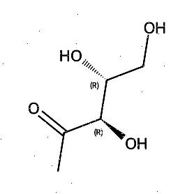 CC(=O)[C@H](O)[C@H](O)CO